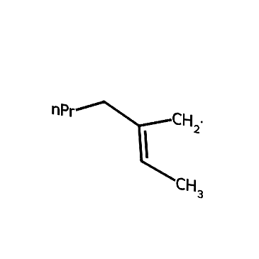 [CH2]C(=CC)CCCC